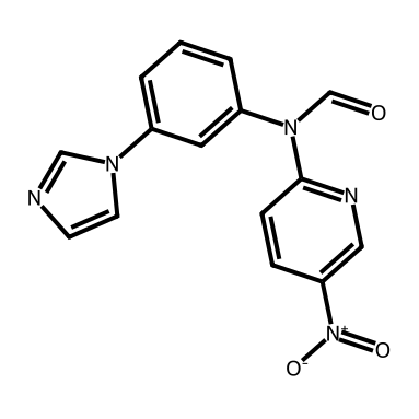 O=CN(c1cccc(-n2ccnc2)c1)c1ccc([N+](=O)[O-])cn1